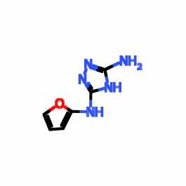 Nc1nnc(Nc2ccco2)[nH]1